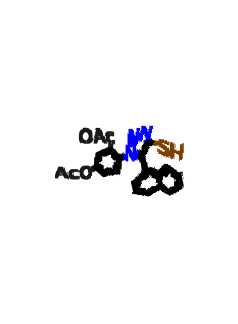 CC(=O)Oc1ccc(-n2nnc(S)c2-c2cccc3ccccc23)c(OC(C)=O)c1